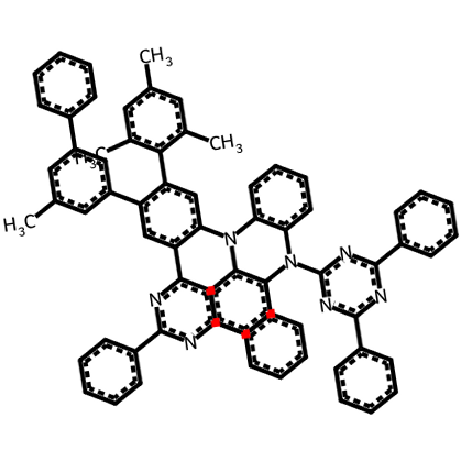 Cc1cc(-c2ccccc2)cc(-c2cc(-c3cc(-c4ccccc4)nc(-c4ccccc4)n3)c(N3c4ccccc4N(c4nc(-c5ccccc5)nc(-c5ccccc5)n4)c4ccccc43)cc2-c2c(C)cc(C)cc2C)c1